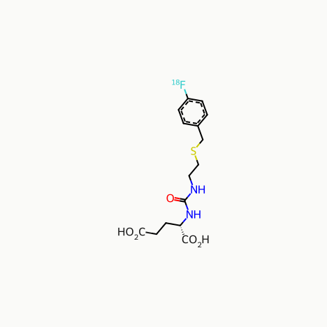 O=C(O)CC[C@H](NC(=O)NCCSCc1ccc([18F])cc1)C(=O)O